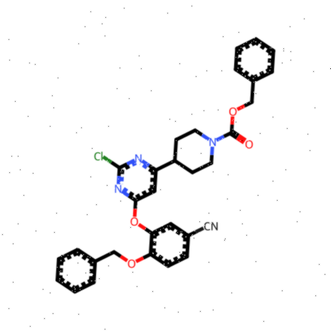 N#Cc1ccc(OCc2ccccc2)c(Oc2cc(C3CCN(C(=O)OCc4ccccc4)CC3)nc(Cl)n2)c1